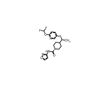 CC(Sc1ccc(OC(F)F)nc1)C1CCN(C(=O)Nc2ccon2)CC1